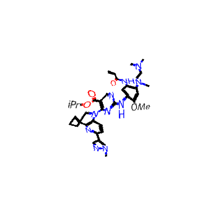 C=CC(=O)Nc1cc(Nc2ncc(C(=O)OC(C)C)c(N3CC4(CCC4)c4nc(-c5cnn(C)c5)ccc43)n2)c(OC)cc1N(C)CCN(C)C